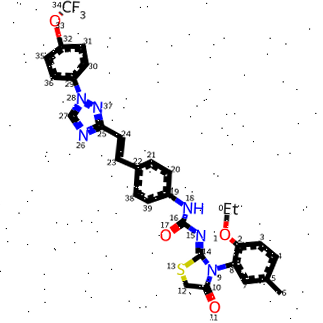 CCOc1ccc(C)cc1N1C(=O)CSC1=NC(=O)Nc1ccc(C=Cc2ncn(-c3ccc(OC(F)(F)F)cc3)n2)cc1